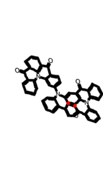 O=c1c2ccccc2n2c3ccccc3c(=O)c3cc(N(c4ccc5c(=O)c6cccc7c(=O)c8ccccc8n(c5c4)c76)c4ccccc4-c4ccccc4)cc1c32